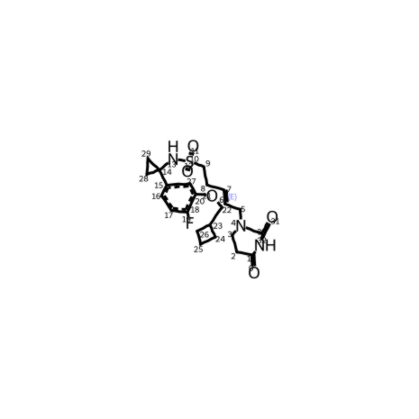 O=C1CCN(C/C=C/CCS(=O)(=O)NC2(c3ccc(F)c(OCC4CCC4)c3)CC2)C(=O)N1